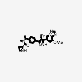 COc1cc(-c2[nH]nc(-c3ccc(C(C)N(C)C(=O)[C@@H]4CCN4)cc3)c2C(C)C)cn2ncnc12